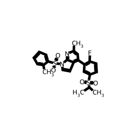 Cc1cc(-c2cc(S(=O)(=O)C(C)C)ccc2F)c2ccn(S(=O)(=O)c3ccccc3C)c2n1